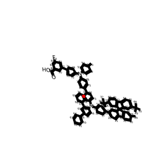 Cc1ccc(N(c2ccc(-c3ccc(N(c4ccc(-c5ccc6c(c5)C5(c7cc(C)ccc7-6)c6cc(C(C)(C)C)ccc6-c6ccc(C(C)(C)C)cc65)cc4)c4ccc(-c5ccccc5)cc4-c4ccccc4)cc3)cc2)c2ccc(-c3cc(F)cc(C(=O)O)c3)cc2)cc1